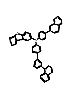 c1cc(-c2ccc(N(c3ccc(-c4ccc5ccccc5c4)cc3)c3ccc4sc5ccccc5c4c3)cc2)cc(-c2cccc3ccccc23)c1